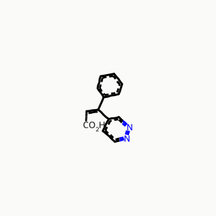 O=C(O)C=C(c1ccccc1)c1ccnnc1